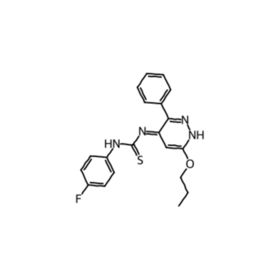 CCCOc1cc(=NC(=S)Nc2ccc(F)cc2)c(-c2ccccc2)n[nH]1